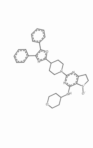 [O-][S+]1CCc2nc(N3CCC(c4nc(-c5ccccc5)c(-c5ccccc5)o4)CC3)nc(NC3CCOCC3)c21